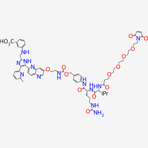 Cc1cccc(-c2nc(CNc3cccc(C(=O)O)c3)[nH]c2-c2ccc3ncc(OCCNC(=O)OCc4ccc(NC(=O)[C@H](CCCNC(N)=O)NC(=O)C(NC(=O)CCOCCOCCOCCOCCN5C(=O)C=CC5=O)C(C)C)cc4)cc3n2)n1